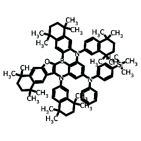 CC1(C)CCC(C)(C)c2cc(N3c4cc5c(cc4B4c6oc7cc8c(cc7c6N(c6ccc7c(c6)C(C)(C)CCC7(C)C)c6cc(N(c7ccccc7)c7ccc([Si](C)(C)C)cc7)cc3c64)C(C)(C)CCC8(C)C)C(C)(C)CCC5(C)C)ccc21